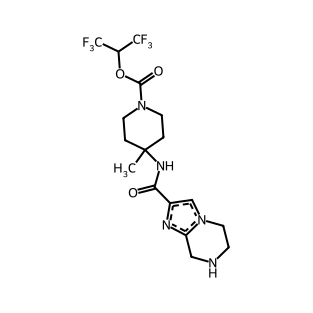 CC1(NC(=O)c2cn3c(n2)CNCC3)CCN(C(=O)OC(C(F)(F)F)C(F)(F)F)CC1